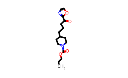 CCCOC(=O)N1CCC(CCCC(=O)c2ncco2)CC1